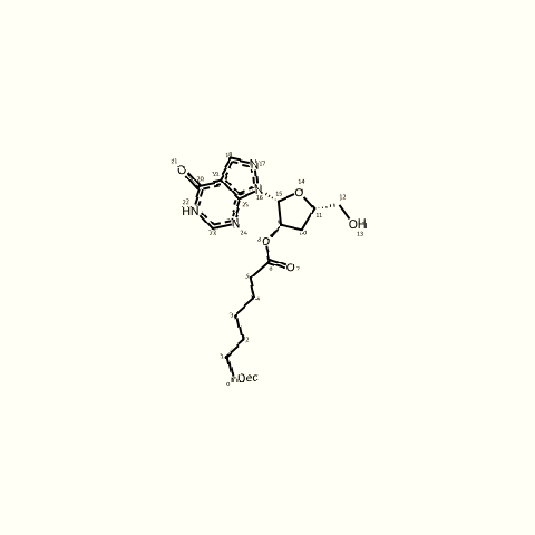 CCCCCCCCCCCCCCCC(=O)O[C@@H]1C[C@@H](CO)O[C@H]1n1ncc2c(=O)[nH]cnc21